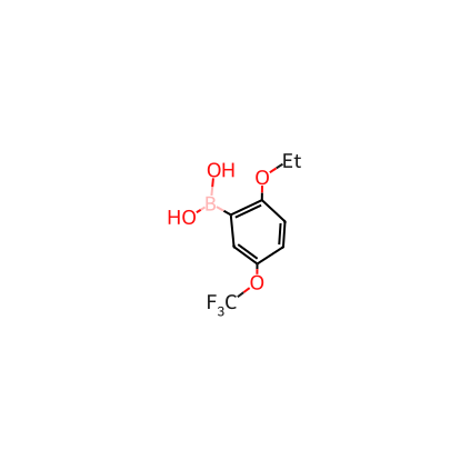 CCOc1ccc(OC(F)(F)F)cc1B(O)O